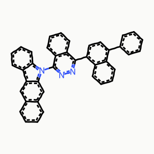 c1ccc(-c2ccc(-c3nnc(-n4c5ccccc5c5cc6ccccc6cc54)c4ccccc34)c3ccccc23)cc1